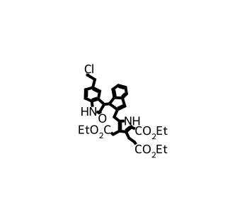 CCOC(=O)CCc1c(C(=O)OCC)[nH]c(CC2=Cc3ccccc3C2C2C(=O)Nc3ccc(CCCl)cc32)c1CC(=O)OCC